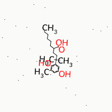 CCCCCCC(CCC(C)(C)c1cc(O)cc(C)c1O)C(=O)O